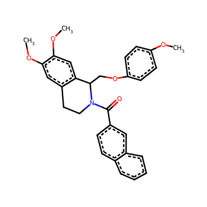 COc1ccc(OCC2c3cc(OC)c(OC)cc3CCN2C(=O)c2ccc3ccccc3c2)cc1